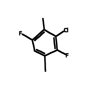 Cc1cc(F)c(C)c(Cl)c1F